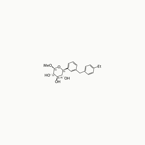 CCc1ccc(Cc2cccc([C@@H]3O[C@H](OC)[C@@H](O)[C@H](O)[C@H]3O)c2)cc1